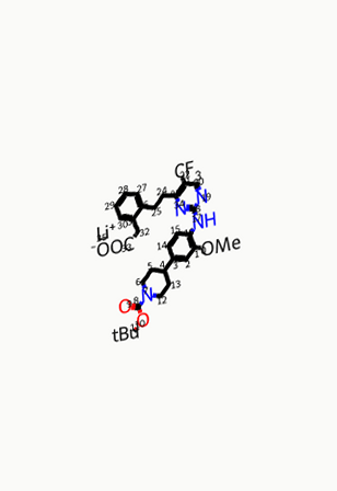 COc1cc(C2CCN(C(=O)OC(C)(C)C)CC2)ccc1Nc1ncc(C(F)(F)F)c(CCc2ccccc2CC(=O)[O-])n1.[Li+]